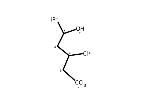 CC(C)C(O)CC(Cl)CC(Cl)(Cl)Cl